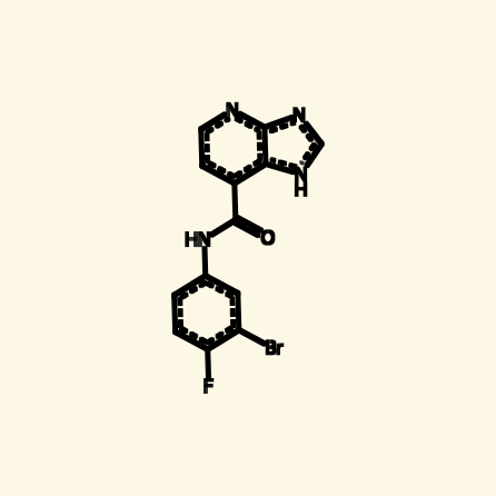 O=C(Nc1ccc(F)c(Br)c1)c1ccnc2nc[nH]c12